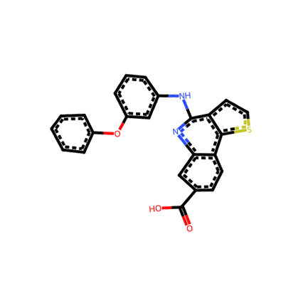 O=C(O)c1ccc2c(c1)nc(Nc1cccc(Oc3ccccc3)c1)c1ccsc12